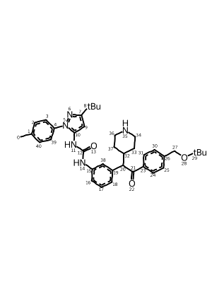 Cc1ccc(-n2nc(C(C)(C)C)cc2NC(=O)Nc2cccc(C(C(=O)c3ccc(COC(C)(C)C)cc3)C3CCNCC3)c2)cc1